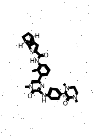 Cc1c(NC(=O)c2cc3c(s2)[C@H]2CC[C@@H]3C2)cccc1-c1cn(C)c(=O)c(Nc2ccc([C@@H]3C(=O)N(C)CCN3C)cc2)n1